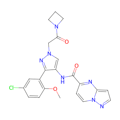 COc1ccc(Cl)cc1-c1nn(CC(=O)N2CCC2)cc1NC(=O)c1ccn2nccc2n1